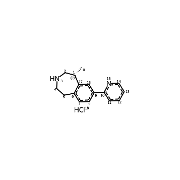 C[C@H]1CNCCc2ccc(-c3ccccn3)cc21.Cl